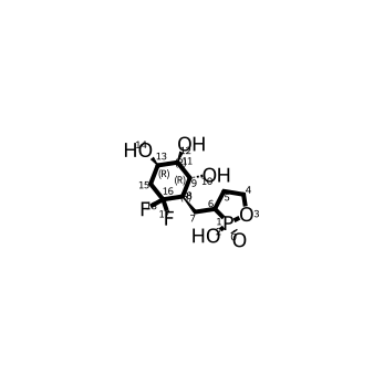 O=P1(O)OCCC1C[C@@H]1[C@@H](O)[C@H](O)[C@H](O)CC1(F)F